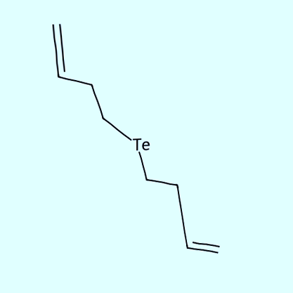 C=CCC[Te]CCC=C